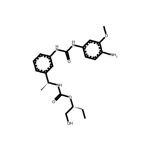 CC[C@H](CO)OC(=O)N[C@H](C)c1cccc(NC(=O)Nc2ccc(N)c(OC)c2)c1